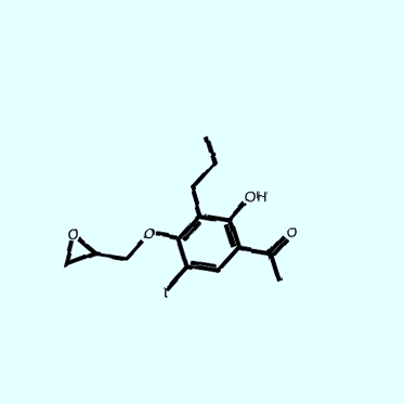 CCCc1c(O)c(C(C)=O)cc(I)c1OCC1CO1